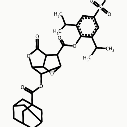 CC(C)c1cc(S(=O)(=O)O)cc(C(C)C)c1OC(=O)C1C2OC3C(OC(=O)C31)C2OC(=O)C12CC3CC(CC(C3)C1)C2